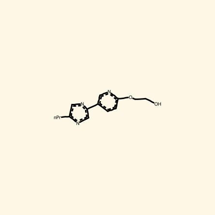 CCCc1cnc(-c2ccc(OCCO)nc2)cn1